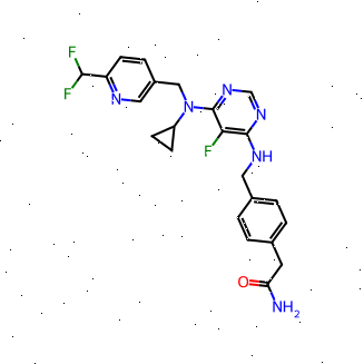 NC(=O)Cc1ccc(CNc2ncnc(N(Cc3ccc(C(F)F)nc3)C3CC3)c2F)cc1